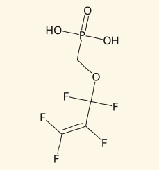 O=P(O)(O)COC(F)(F)C(F)=C(F)F